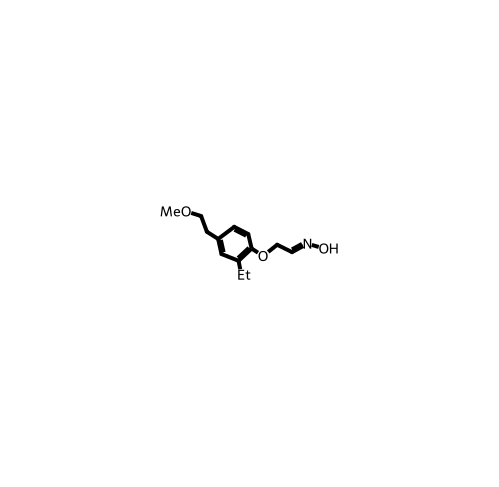 CCc1cc(CCOC)ccc1OCC=NO